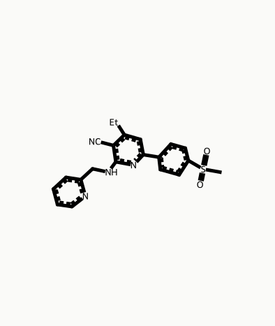 CCc1cc(-c2ccc(S(C)(=O)=O)cc2)nc(NCc2ccccn2)c1C#N